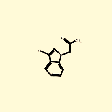 CC(=O)Cn1cc(Cl)c2ccccc21